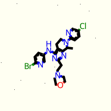 CC1c2nc(CCN3CCOCC3)nc(Nc3ccc(Br)nc3)c2CCN1c1ccc(Cl)cn1